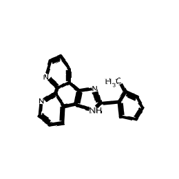 Cc1ccccc1-c1nc2c3cccnc3c3ncccc3c2[nH]1